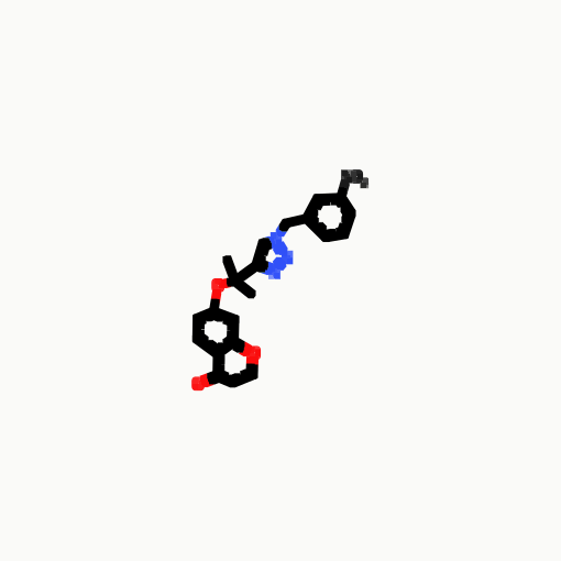 CC(C)(Oc1ccc2c(=O)ccoc2c1)c1cn(Cc2cccc([N+](=O)[O-])c2)nn1